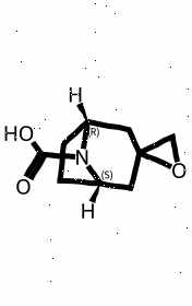 O=C(O)N1[C@@H]2CC[C@H]1CC1(CO1)C2